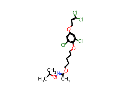 CC(=NOC(C)C)OCCCCCOc1c(Cl)cc(OCC=C(Cl)Cl)cc1Cl